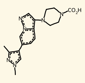 Cc1nn(C)cc1-c1ccc2c(N3CCN(C(=O)O)CC3)cnn2c1